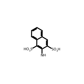 [NH]c1c(S(=O)(=O)O)cc2ccccc2c1S(=O)(=O)O